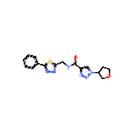 O=C(NCc1nnc(-c2ccccc2)s1)c1cn(C2CCOC2)nn1